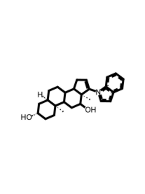 C[C@@]12C(n3ccc4ccccc43)=CCC1C1CC[C@@H]3C[C@@H](O)CC[C@]3(C)C1CC2O